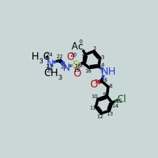 CC(=O)c1ccc(NC(=O)Cc2ccccc2Cl)cc1S(=O)(=O)/N=C/N(C)C